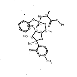 CO[C@@H]1[C@@H]([C@@H](C)O[P@@](=O)(N[C@@H](C)C(=O)OC(C)C)Oc2ccccc2)O[C@@](C#N)(n2ccc(N)nc2=O)[C@@H]1O